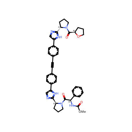 COC(=O)N[C@@H](C(=O)N1CCC[C@H]1c1ncc(-c2ccc(C#Cc3ccc(-c4cnc([C@@H]5CCCN5C(=O)[C@H]5CCCO5)[nH]4)cc3)cc2)[nH]1)c1ccccc1